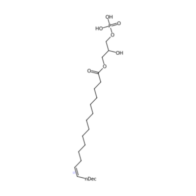 CCCCCCCCCC/C=C\CCCCCCCCCCCC(=O)OCC(O)COP(=O)(O)O